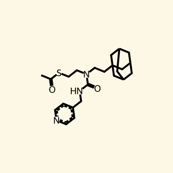 CC(=O)SCCN(CCC12CC3CC(CC(C3)C1)C2)C(=O)NCc1ccncc1